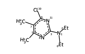 CCN(CC)c1nc(C)c(C)c(Cl)n1